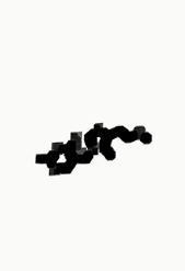 COCCc1sc[n+](Cc2cnc(C)nc2N)c1C